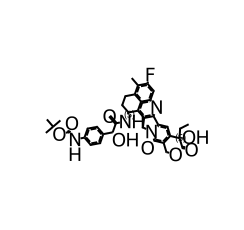 CC[C@@]1(O)C(=O)OCc2c1cc1n(c2=O)Cc2c-1nc1cc(F)c(C)c3c1c2[C@@H](NC(=O)C(O)c1ccc(NC(=O)OC(C)(C)C)cc1)CC3